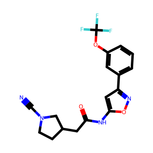 N#CN1CCC(CC(=O)Nc2cc(-c3cccc(OC(F)(F)F)c3)no2)C1